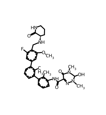 COc1cc(-c2cccc(-c3cccc(NC(=O)C4=NN(C)C(O)N(C)C4=O)c3C)c2C)cc(F)c1CN[C@@H]1CCCNC1=O